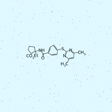 CCOC(=O)C1(NC(=O)c2ccc(Sc3nc(C)cc(C)n3)cc2)CCCC1